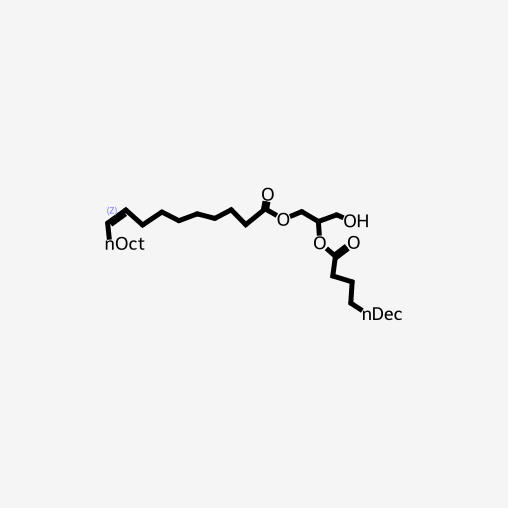 CCCCCCCC/C=C\CCCCCCCC(=O)OCC(CO)OC(=O)CCCCCCCCCCCCC